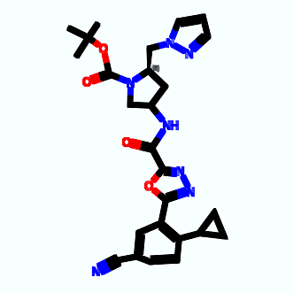 CC(C)(C)OC(=O)N1CC(NC(=O)c2nnc(-c3cc(C#N)ccc3C3CC3)o2)C[C@@H]1Cn1cccn1